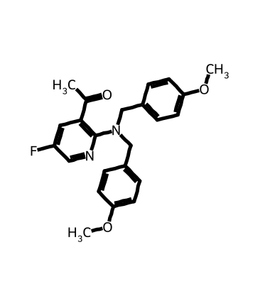 COc1ccc(CN(Cc2ccc(OC)cc2)c2ncc(F)cc2C(C)=O)cc1